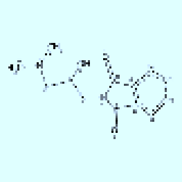 CN(C)CC(O)CN1C(=O)c2ccccc2C1=O